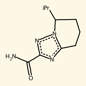 CC(C)C1CCCc2nc(C(N)=O)nn21